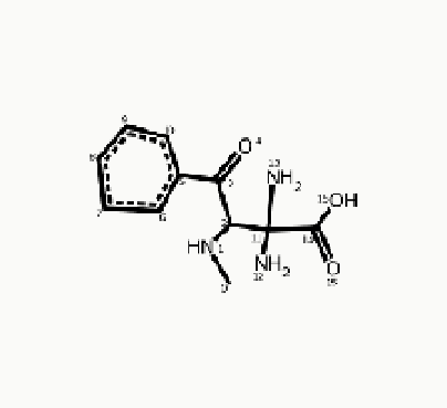 CNC(C(=O)c1ccccc1)C(N)(N)C(=O)O